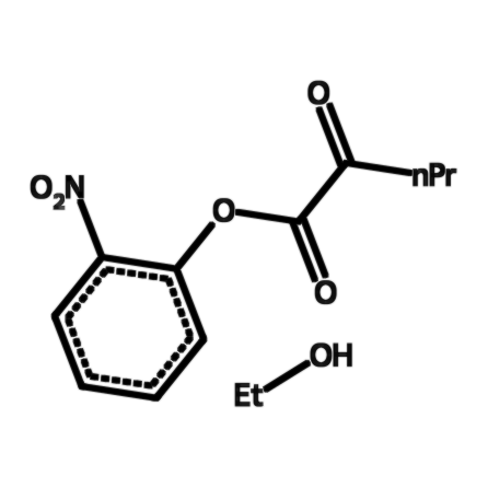 CCCC(=O)C(=O)Oc1ccccc1[N+](=O)[O-].CCO